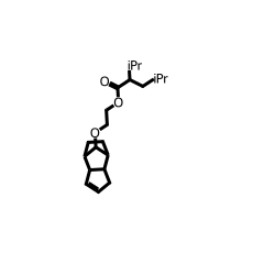 CC(C)CC(C(=O)OCCOC1C2CCC1C1CC=CC12)C(C)C